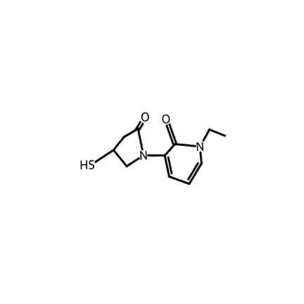 CCn1cccc(N2CC(S)CC2=O)c1=O